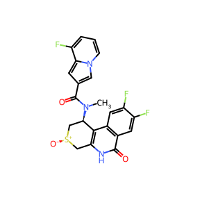 CN(C(=O)c1cc2c(F)cccn2c1)[C@@H]1C[S@+]([O-])Cc2[nH]c(=O)c3cc(F)c(F)cc3c21